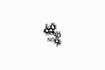 N#C[C@@H]1CC(F)(F)CN1C(=O)CNC(=O)c1ccncc1-c1c(F)cccc1F